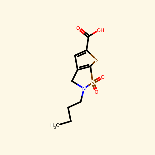 CCCCN1Cc2cc(C(=O)O)sc2S1(=O)=O